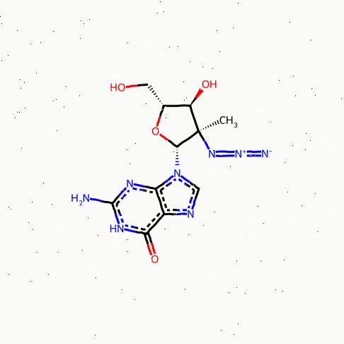 C[C@@]1(N=[N+]=[N-])[C@H](O)[C@@H](CO)O[C@H]1n1cnc2c(=O)[nH]c(N)nc21